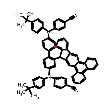 CC(C)(C)c1ccc(N(c2ccc(C#N)cc2)c2ccc(-c3ccc(N(c4ccc(C#N)cc4)c4ccc(C(C)(C)C)cc4)cc3C3c4ccccc4-c4cc5c6ccccc6c6ccccc6c5cc43)cc2)cc1